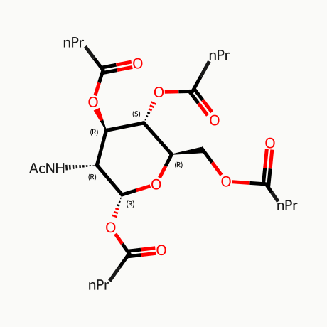 CCCC(=O)OC[C@H]1O[C@H](OC(=O)CCC)[C@H](NC(C)=O)[C@@H](OC(=O)CCC)[C@@H]1OC(=O)CCC